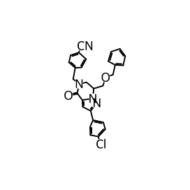 N#Cc1ccc(CN2CC(COCc3ccccc3)n3nc(-c4ccc(Cl)cc4)cc3C2=O)cc1